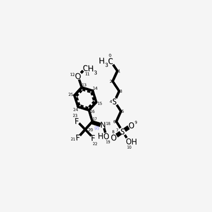 CCCCSCCS(=O)(=O)O.COc1ccc(/C(=N/O)C(F)(F)F)cc1